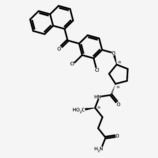 NC(=O)CC[C@H](NC(=O)[C@H]1CC[C@H](Oc2ccc(C(=O)c3cccc4ccccc34)c(Cl)c2Cl)C1)C(=O)O